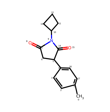 Cc1ccc(C2CC(=O)N(C3CCC3)C2=O)cc1